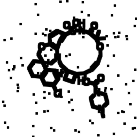 CN1CCN(C(=O)O[C@H]2C=CCOC(C)(C)C(=O)NS(=O)(=O)c3ccc4c(c3)N(C[C@@H]3CC[C@H]32)C[C@@]2(CCCc3cc(Cl)ccc32)CO4)CC1